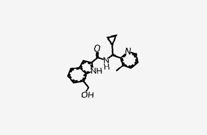 Cc1cccnc1C(NC(=O)c1cc2cccc(CO)c2[nH]1)C1CC1